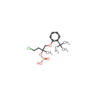 CC(CCCl)(COc1ccccc1C(C)(C)C)OS(=O)O